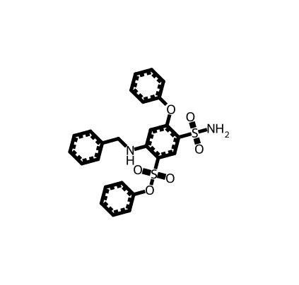 NS(=O)(=O)c1cc(S(=O)(=O)Oc2ccccc2)c(NCc2ccccc2)cc1Oc1ccccc1